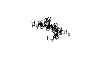 CON=C(C(=O)NC1C(=O)N2CC(SCC3COCOC3)(C(=O)OCOC(=O)C(C)(C)C)CS[C@H]12)c1csc(N)n1